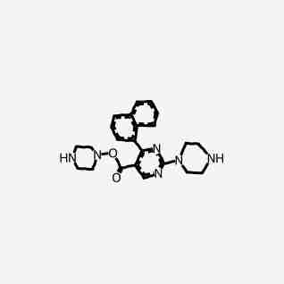 O=C(ON1CCNCC1)c1cnc(N2CCNCC2)nc1-c1cccc2ccccc12